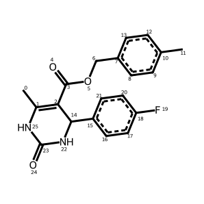 CC1=C(C(=O)OCc2ccc(C)cc2)C(c2ccc(F)cc2)NC(=O)N1